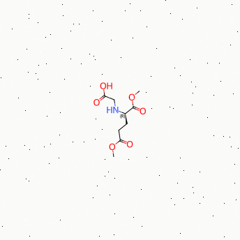 COC(=O)CC[C@@H](NCC(=O)O)C(=O)OC